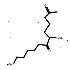 CCCCCCCCCCCCCCCC(=O)C(CCCCCCCCCC)CCCC(=O)Cl